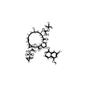 COc1cc(F)cc2c(O[C@@H]3C[C@H]4C(=O)N[C@]5(C(=O)NS(=O)(=O)C6(C)CC6)CC5/C=C\CC[C@@H](C)C[C@@H](C)[C@H](NC(=O)OC(C)(C)C)C(=O)N4C3)nccc12